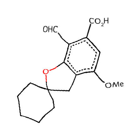 COc1cc(C(=O)O)c(C=O)c2c1CC1(CCCCC1)O2